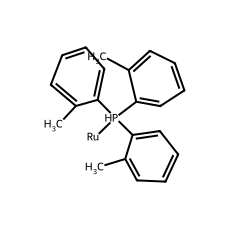 Cc1ccccc1[PH]([Ru])(c1ccccc1C)c1ccccc1C